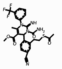 COC(=O)C1=C(C)N(c2cccc(C(F)(F)F)c2)C(=N)N(C(N)=O)C1c1ccc(C#N)cc1CCSC(C)=O